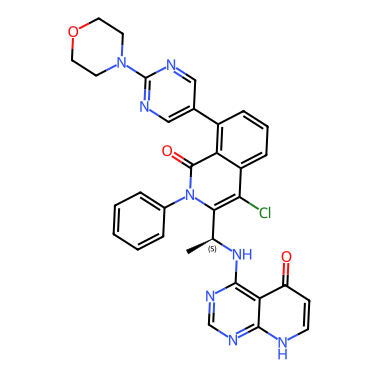 C[C@H](Nc1ncnc2[nH]ccc(=O)c12)c1c(Cl)c2cccc(-c3cnc(N4CCOCC4)nc3)c2c(=O)n1-c1ccccc1